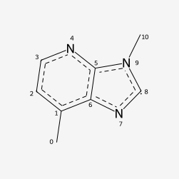 Cc1ccnc2c1n[c]n2C